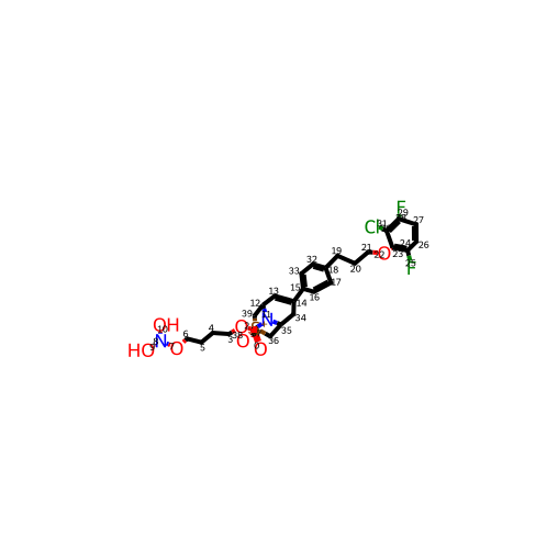 O=C(OCCCCON(O)O)N1C2C=C(c3ccc(CCCOc4c(F)ccc(F)c4Cl)cc3)CC1C[S+]([O-])C2